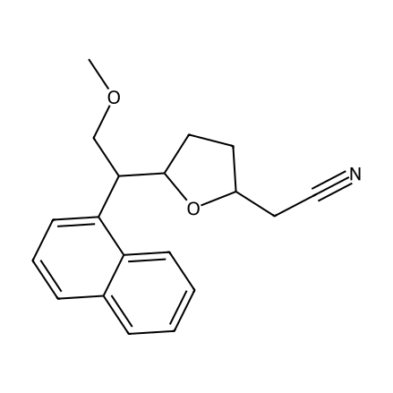 COCC(c1cccc2ccccc12)C1CCC(CC#N)O1